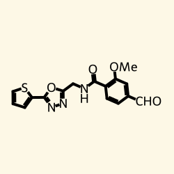 COc1cc(C=O)ccc1C(=O)NCc1nnc(-c2cccs2)o1